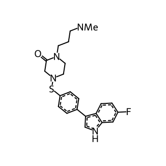 CNCCCN1CCN(Sc2ccc(-c3c[nH]c4cc(F)ccc34)cc2)CC1=O